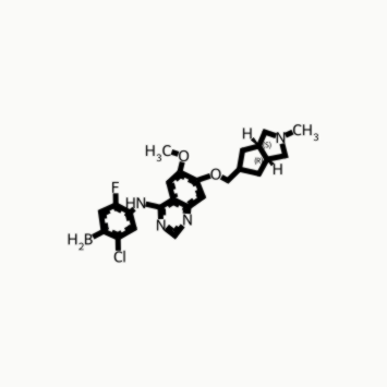 Bc1cc(F)c(Nc2ncnc3cc(OCC4C[C@@H]5CN(C)C[C@@H]5C4)c(OC)cc23)cc1Cl